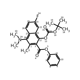 Cc1c(C(=O)Oc2ccccc2)c(OC(=O)OC(C)(C)C)c2cc(F)ccc2c1N(C)C